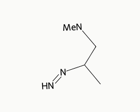 CNCC(C)N=N